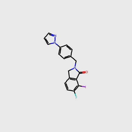 O=C1c2c(ccc(F)c2I)CN1Cc1ccc(-n2cccn2)cc1